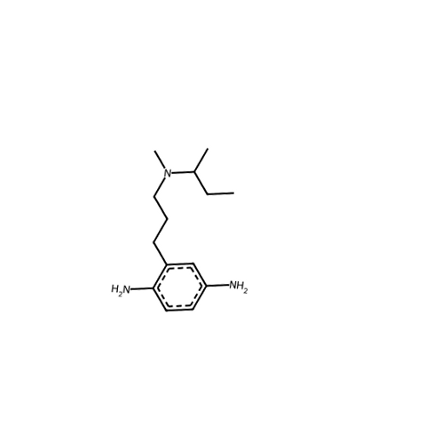 CCC(C)N(C)CCCc1cc(N)ccc1N